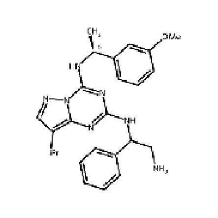 COc1cccc([C@H](C)Nc2nc(NC(CN)c3ccccc3)nc3c(C(C)C)cnn23)c1